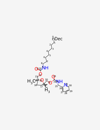 CCCCCCCCCCCCCCCCCCNC(=O)OCC1(C)CCC(C)(COC(=O)NCc2ccccn2)O1